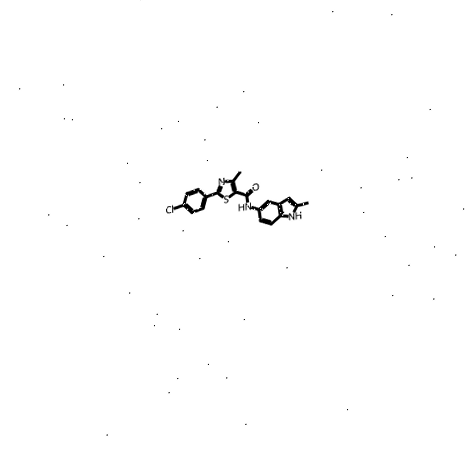 Cc1cc2cc(NC(=O)c3sc(-c4ccc(Cl)cc4)nc3C)ccc2[nH]1